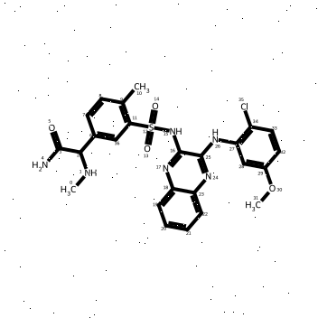 CNC(C(N)=O)c1ccc(C)c(S(=O)(=O)Nc2nc3ccccc3nc2Nc2cc(OC)ccc2Cl)c1